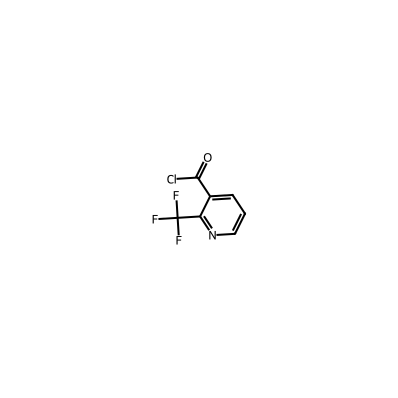 O=C(Cl)c1cccnc1C(F)(F)F